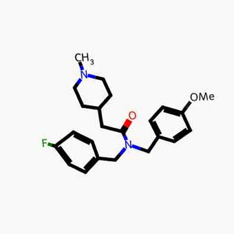 COc1ccc(CN(Cc2ccc(F)cc2)C(=O)CC2CCN(C)CC2)cc1